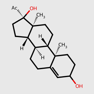 CC(=O)[C@@]1(O)CC[C@H]2[C@@H]3CCC4=CC(O)CC[C@]4(C)[C@H]3CC[C@@]21C